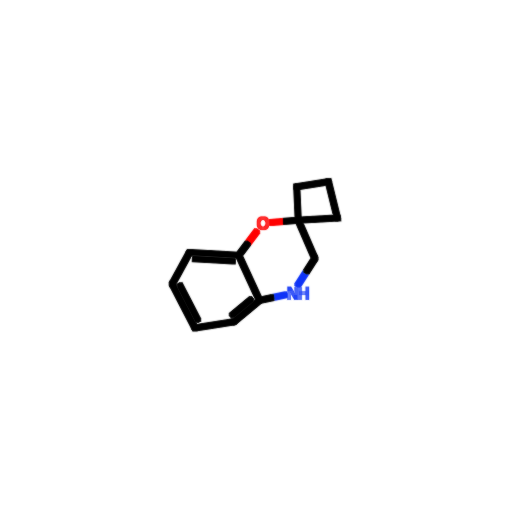 c1ccc2c(c1)NCC1(CCC1)O2